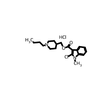 CCCCN1CCC(COC(=O)c2c(Cl)n(C)c3ccccc23)CC1.Cl